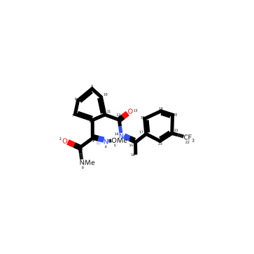 CNC(=O)/C(=N/OC)c1ccccc1C(=O)N=C(C)c1cccc(C(F)(F)F)c1